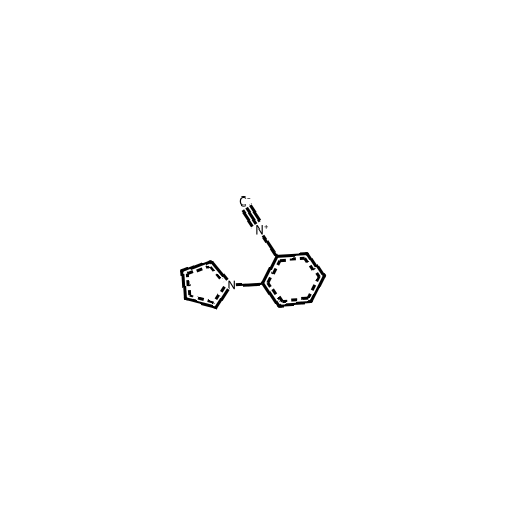 [C-]#[N+]c1ccccc1-n1cccc1